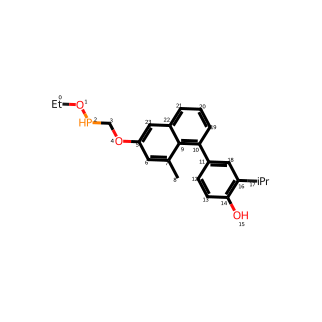 CCOPCOc1cc(C)c2c(-c3ccc(O)c(C(C)C)c3)cccc2c1